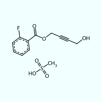 CS(=O)(=O)O.O=C(OCC#CCO)c1ccccc1F